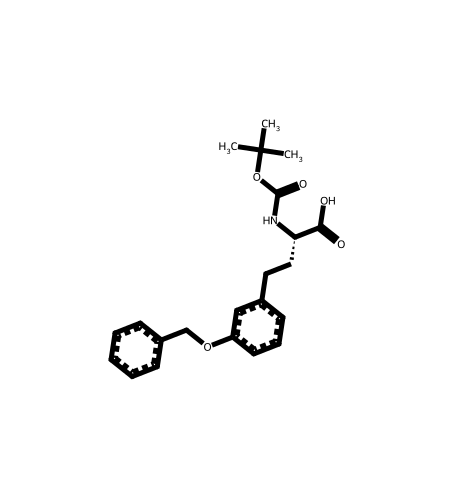 CC(C)(C)OC(=O)N[C@@H](CCc1cccc(OCc2ccccc2)c1)C(=O)O